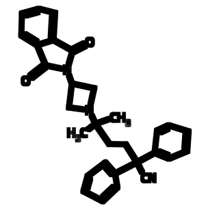 CC(C)(CCC(C#N)(c1ccccc1)c1ccccc1)N1CC(N2C(=O)c3ccccc3C2=O)C1